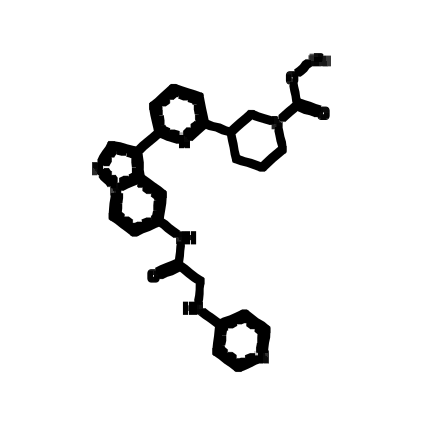 CC(C)(C)OC(=O)N1CCCC(c2cccc(-c3cnn4ccc(NC(=O)CNc5ccncc5)cc34)n2)C1